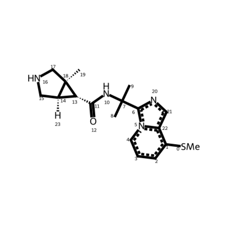 CSc1cccn2c(C(C)(C)NC(=O)[C@@H]3[C@H]4CNC[C@]43C)ncc12